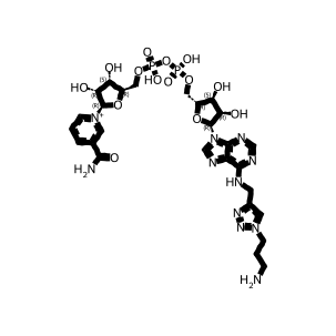 NCCCn1cc(CNc2ncnc3c2ncn3[C@@H]2O[C@H](COP(=O)(O)OP(=O)(O)OC[C@H]3O[C@@H]([n+]4cccc(C(N)=O)c4)[C@H](O)[C@@H]3O)[C@@H](O)[C@H]2O)nn1